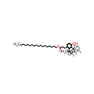 CCCCCCCCCCCCCCCCCCOC(=O)CCc1ccc(O)c(C(C)(C)C)c1C(C)(C)C